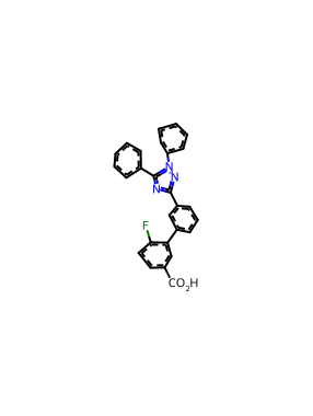 O=C(O)c1ccc(F)c(-c2cccc(-c3nc(-c4ccccc4)n(-c4ccccc4)n3)c2)c1